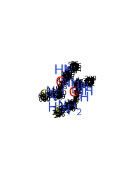 Cc1ccc(Nc2ccccc2NC(=O)CCCc2ccc(N=C(N)c3cccs3)cc2)cc1.N=C(Nc1cccc(CCC(=O)Nc2ccc(Nc3ccccc3)cc2)c1)c1cccs1